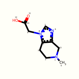 CN1CCc2c(ncn2CC(=O)O)C1